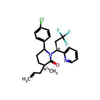 C=CC[C@@]1(C)CCC(c2ccc(Cl)cc2)N([C@@H](CC(F)(F)F)c2ccccn2)C1=O